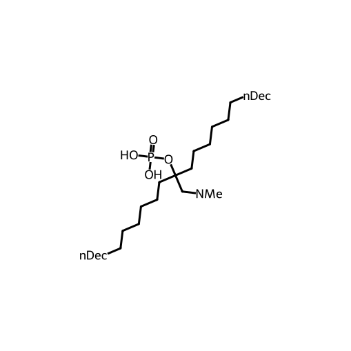 CCCCCCCCCCCCCCCCC(CCCCCCCCCCCCCCCC)(CNC)OP(=O)(O)O